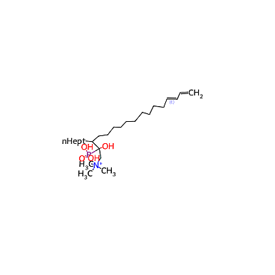 C=C/C=C/CCCCCCCCCCC(CCCCCCC)C(O)(C[N+](C)(C)C)P(=O)(O)O